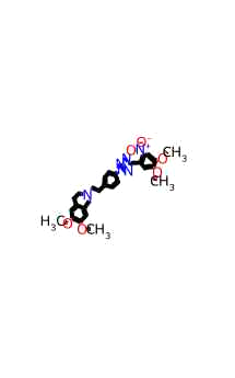 COc1cc2c(cc1OC)CN(CCc1ccc(-n3nnc(-c4cc(OC)c(OC)cc4[N+](=O)[O-])n3)cc1)CC2